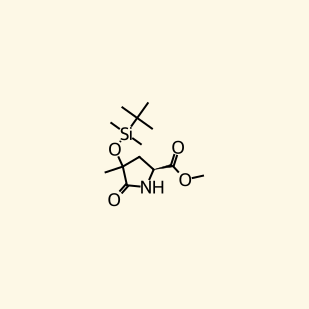 COC(=O)[C@@H]1CC(C)(O[Si](C)(C)C(C)(C)C)C(=O)N1